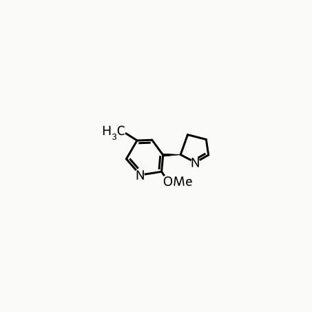 COc1ncc(C)cc1[C@H]1CCC=N1